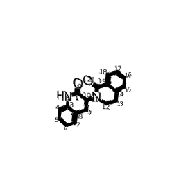 O=C1Nc2ccccc2CC1N1[C]Cc2ccccc2C1=O